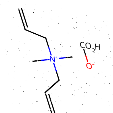 C=CC[N+](C)(C)CC=C.O=C([O-])O